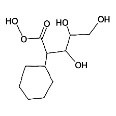 O=C(OO)C(C1CCCCC1)C(O)C(O)CO